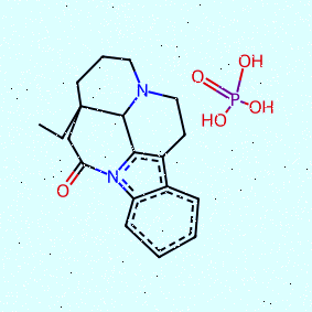 CCC12CCCN3CCc4c(n(c5ccccc45)C(=O)C1)C32.O=P(O)(O)O